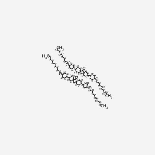 CCCCCCCCCCOC1CCC(C2CCC3(CC2)CC2(CCC(C4CCC(OCCCCCCCCCC)CC4)CC2)C3=O)CC1.CCCCCCCCCOC1CCC([C@H]2CC[C@]3(CC2)C[C@@]2(CC[C@H]([C@H]4CC[C@H](OCCCCCCCCC)CC4)CC2)C3=O)CC1